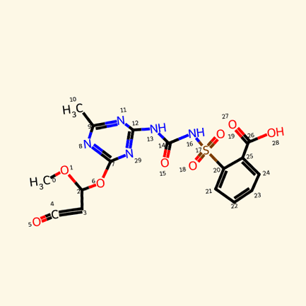 COC(C=C=O)Oc1nc(C)nc(NC(=O)NS(=O)(=O)c2ccccc2C(=O)O)n1